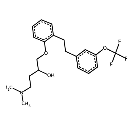 CN(C)CCC(O)COc1ccccc1CCc1cccc(OC(F)(F)F)c1